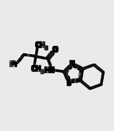 CC(C)CC(C)(C)C(=O)Nc1nc2c(s1)CCCC2